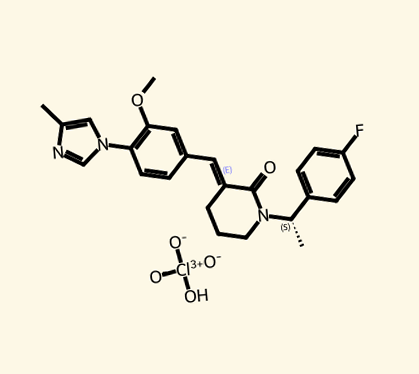 COc1cc(/C=C2\CCCN([C@@H](C)c3ccc(F)cc3)C2=O)ccc1-n1cnc(C)c1.[O-][Cl+3]([O-])([O-])O